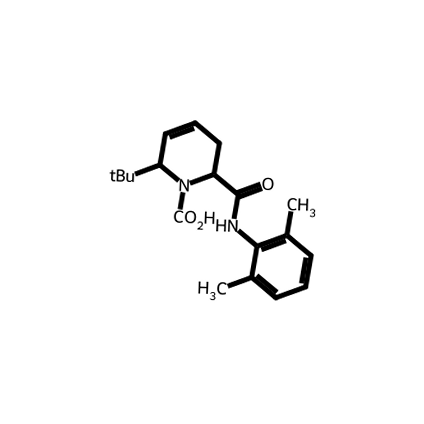 Cc1cccc(C)c1NC(=O)C1CC=CC(C(C)(C)C)N1C(=O)O